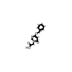 O=C(O)Cn1cnc(OCc2ccccc2)cc1=O